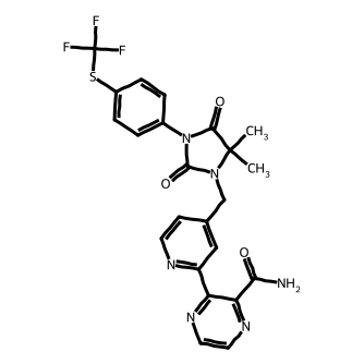 CC1(C)C(=O)N(c2ccc(SC(F)(F)F)cc2)C(=O)N1Cc1ccnc(-c2nccnc2C(N)=O)c1